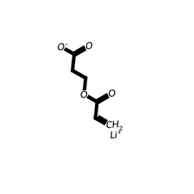 C=CC(=O)OCCC(=O)[O-].[Li+]